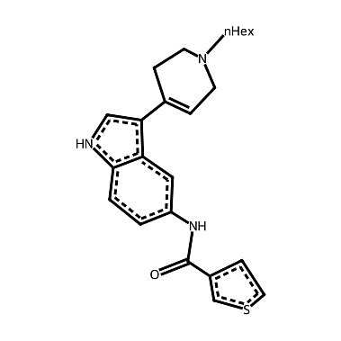 CCCCCCN1CC=C(c2c[nH]c3ccc(NC(=O)c4ccsc4)cc23)CC1